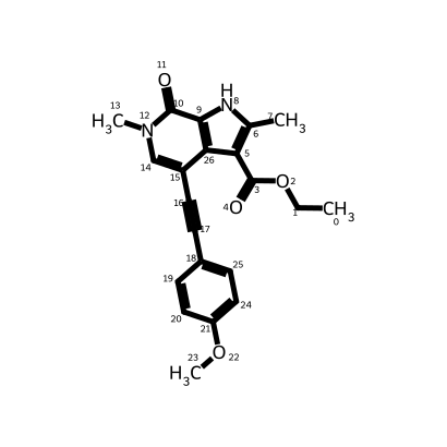 CCOC(=O)c1c(C)[nH]c2c(=O)n(C)cc(C#Cc3ccc(OC)cc3)c12